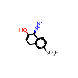 [N-]=[N+]=C1C(O)=CCc2cc(S(=O)(=O)O)ccc21